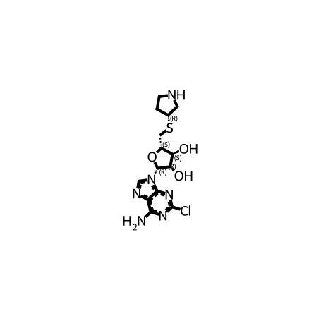 Nc1nc(Cl)nc2c1ncn2[C@@H]1O[C@H](CS[C@@H]2CCNC2)[C@@H](O)[C@H]1O